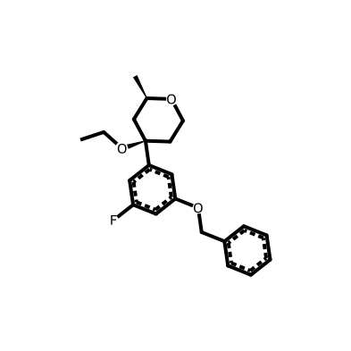 CCO[C@]1(c2cc(F)cc(OCc3ccccc3)c2)CCO[C@H](C)C1